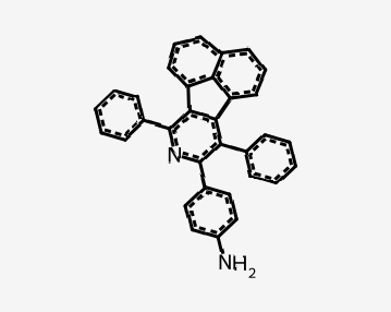 Nc1ccc(-c2nc(-c3ccccc3)c3c(c2-c2ccccc2)-c2cccc4cccc-3c24)cc1